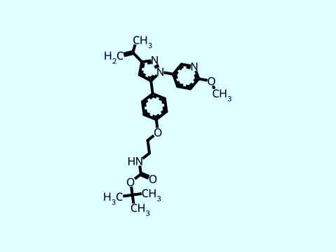 C=C(C)c1cc(-c2ccc(OCCNC(=O)OC(C)(C)C)cc2)n(-c2ccc(OC)nc2)n1